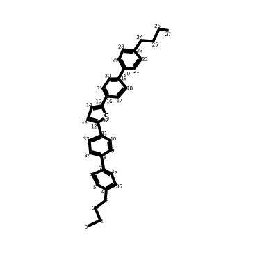 CCCCc1ccc(-c2ccc(-c3ccc(-c4ccc(-c5ccc(CCCC)cc5)cc4)s3)cc2)cc1